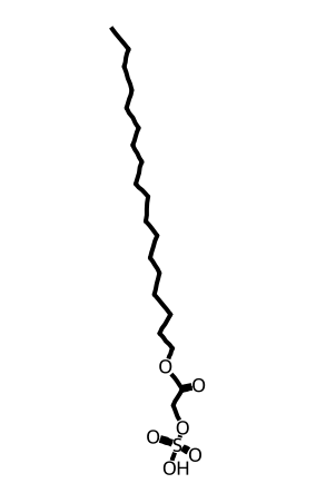 CCCCCCCCCCCCCCCCCCOC(=O)COS(=O)(=O)O